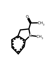 CC(=O)C1Cc2ccccc2N1C